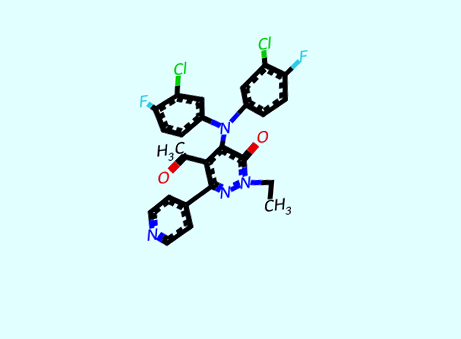 CCn1nc(-c2ccncc2)c(C(C)=O)c(N(c2ccc(F)c(Cl)c2)c2ccc(F)c(Cl)c2)c1=O